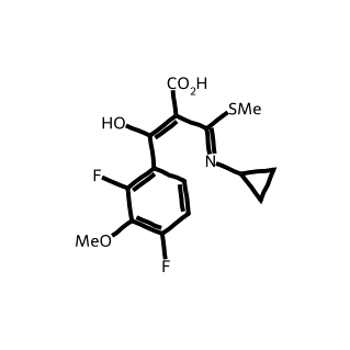 COc1c(F)ccc(C(O)=C(C(=O)O)C(=NC2CC2)SC)c1F